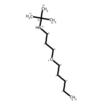 CCCCCOCCCNC(C)(C)C